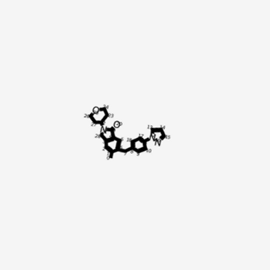 Cc1cc2c(cc1Cc1ccc(-n3cccn3)cc1)C(=O)N(C1CCOCC1)C2